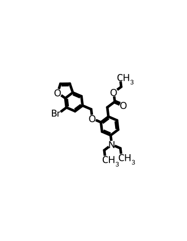 CCOC(=O)Cc1ccc(N(CC)CC)cc1OCc1cc(Br)c2occc2c1